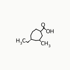 CC[C@H]1CCCC(C(=O)O)CC(C)C1